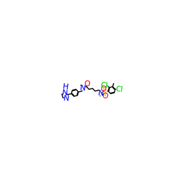 Cc1c(Cl)ccc(S(=O)(=O)N(C)CCCCC(=O)N(C)Cc2ccc(C3=NCCN3)cc2)c1Cl